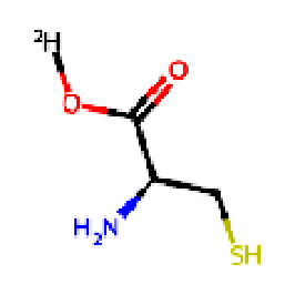 [2H]OC(=O)[C@H](N)CS